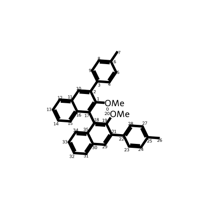 COc1c(-c2ccc(C)cc2)cc2ccccc2c1-c1c(OC)c(-c2ccc(C)cc2)cc2ccccc12